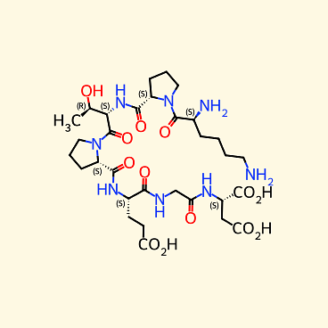 C[C@@H](O)[C@H](NC(=O)[C@@H]1CCCN1C(=O)[C@@H](N)CCCCN)C(=O)N1CCC[C@H]1C(=O)N[C@@H](CCC(=O)O)C(=O)NCC(=O)N[C@@H](CC(=O)O)C(=O)O